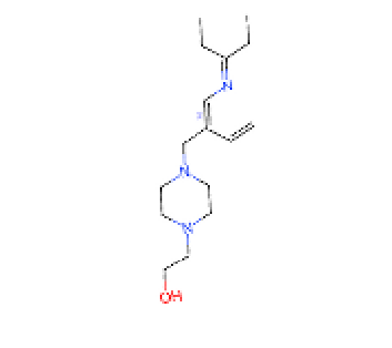 C=C/C(=C\N=C(CC)CC)CN1CCN(CCO)CC1